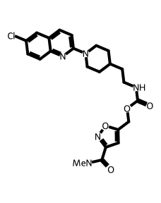 CNC(=O)c1cc(COC(=O)NCCC2CCN(c3ccc4cc(Cl)ccc4n3)CC2)on1